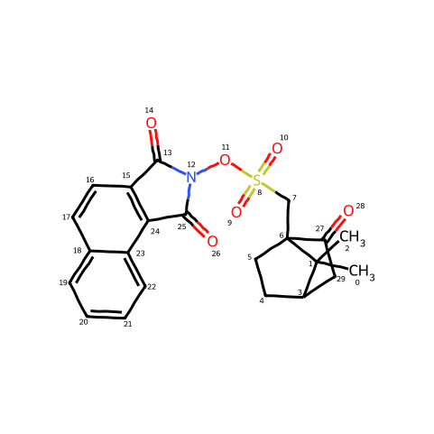 CC1(C)C2CCC1(CS(=O)(=O)ON1C(=O)c3ccc4ccccc4c3C1=O)C(=O)C2